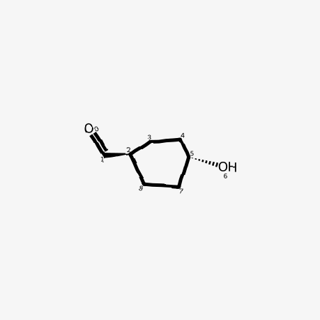 O=C[C@H]1CC[C@H](O)CC1